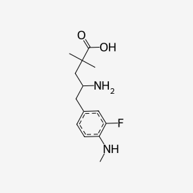 CNc1ccc(CC(N)CC(C)(C)C(=O)O)cc1F